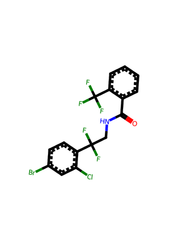 O=C(NCC(F)(F)c1ccc(Br)cc1Cl)c1ccccc1C(F)(F)F